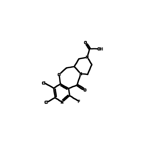 O=C(O)N1CCN2C(=O)c3c(F)nc(Cl)c(Cl)c3OCC2C1